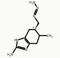 CC1Cc2nc(N)[nH]c2C[C@H]1CN=NN